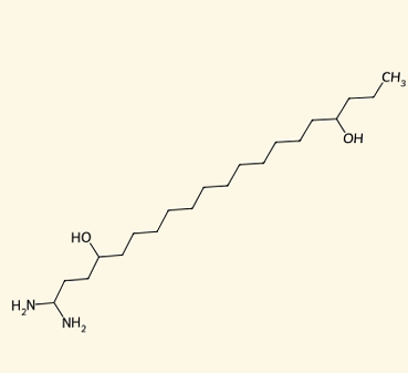 CCCC(O)CCCCCCCCCCCCC(O)CCC(N)N